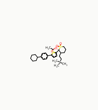 CC(=O)O[C@@]1(c2ccc(-c3ccc(C4CCCCC4)cc3)s2)C(CC[Si](C)(C)C)CCCS1(=O)=O